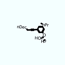 CCCC.CCCCCCCCCCCC#Cc1cccc(O[PH](=O)O)c1